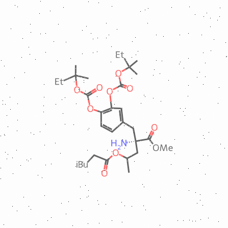 CCC(C)CC(=O)OC(C)C[C@@](N)(Cc1ccc(OC(=O)OC(C)(C)CC)c(OC(=O)OC(C)(C)CC)c1)C(=O)OC